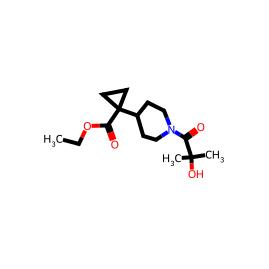 CCOC(=O)C1(C2CCN(C(=O)C(C)(C)O)CC2)CC1